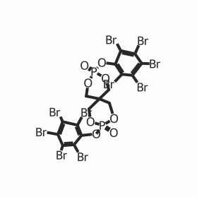 O=P1(Oc2c(Br)c(Br)c(Br)c(Br)c2Br)OCC2(CO1)COP(=O)(Oc1c(Br)c(Br)c(Br)c(Br)c1Br)OC2